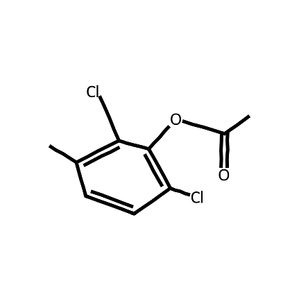 CC(=O)Oc1c(Cl)ccc(C)c1Cl